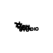 Cc1ccc(S(=O)(=O)CC2CCC(C=O)O2)cc1